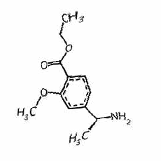 CCOC(=O)c1ccc([C@H](C)N)cc1OC